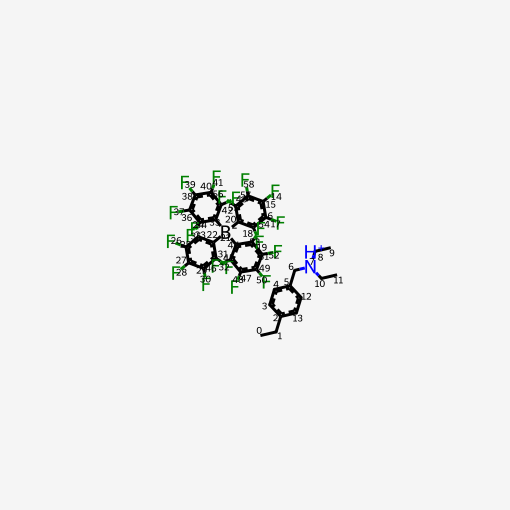 CCc1ccc(C[NH+](CC)CC)cc1.Fc1c(F)c(F)c([B-](c2c(F)c(F)c(F)c(F)c2F)(c2c(F)c(F)c(F)c(F)c2F)c2c(F)c(F)c(F)c(F)c2F)c(F)c1F